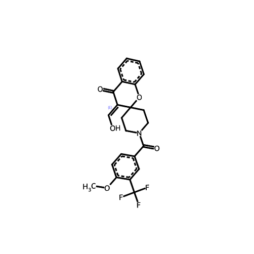 COc1ccc(C(=O)N2CCC3(CC2)Oc2ccccc2C(=O)/C3=C/O)cc1C(F)(F)F